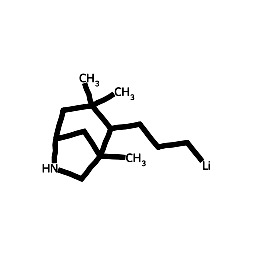 [Li][CH2]CCC1C(C)(C)CC2CC1(C)CN2